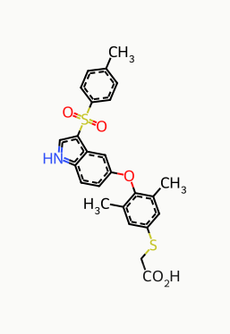 Cc1ccc(S(=O)(=O)c2c[nH]c3ccc(Oc4c(C)cc(SCC(=O)O)cc4C)cc23)cc1